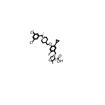 C[C@H]1OCN(Cc2cc(C3CC3)c(OCC3CCN([C@@H](C)c4cc(Cl)cc(Cl)c4)CC3)cc2F)[C@@H]1C(=O)O